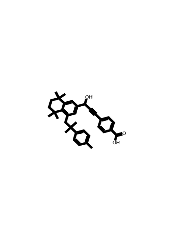 Cc1ccc(C(C)(C)Cc2cc(C(O)C#Cc3ccc(C(=O)O)cc3)cc3c2C(C)(C)CCC3(C)C)cc1